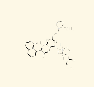 C=CC(=O)N1CC[C@@H]2[C@H]1CN2c1nc(OCC2CCCN2C)nc2nc(-c3cccc4cccc(Cl)c34)c(F)cc12